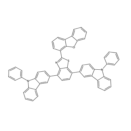 c1ccc(-n2c3ccccc3c3cc(-c4ccc(-c5ccc6c(c5)c5ccccc5n6-c5ccccc5)c5sc(-c6cccc7c6oc6ccccc67)nc45)ccc32)cc1